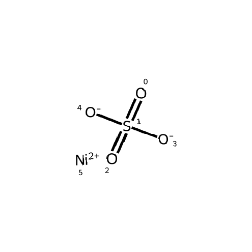 O=S(=O)([O-])[O-].[Ni+2]